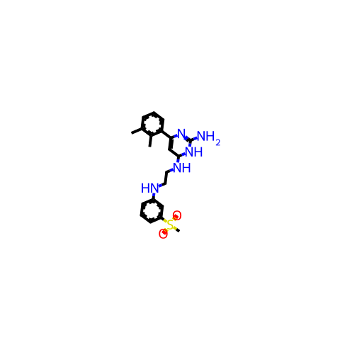 Cc1cccc(C2=CC(NCCNc3cccc(S(C)(=O)=O)c3)NC(N)=N2)c1C